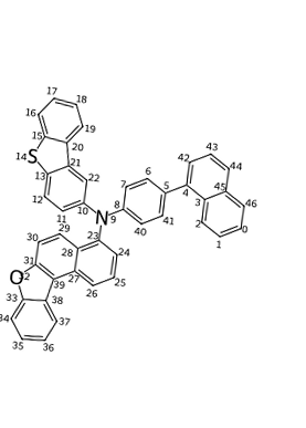 c1ccc2c(-c3ccc(N(c4ccc5sc6ccccc6c5c4)c4cccc5c4ccc4oc6ccccc6c45)cc3)cccc2c1